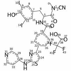 CN(C#N)C(=O)C(Cc1cc(I)c(O)c(I)c1)NC(=O)c1ccc(-c2csc(Nc3ccncc3)n2)cc1.O=C(O)C(F)(F)F